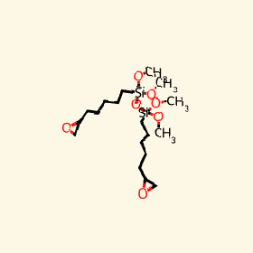 CO[Si](CCCCCC1CO1)(OC)O[Si](CCCCCC1CO1)(OC)OC